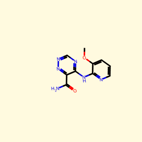 COc1cccnc1Nc1ncnnc1C(N)=O